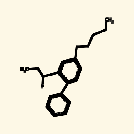 CCCCCc1ccc(-c2ccccc2)c(C(F)CC)c1